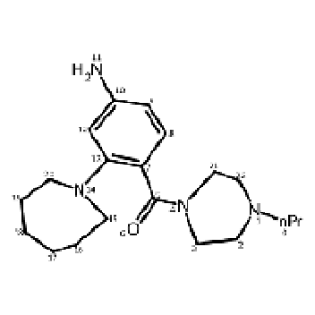 CCCN1CCN(C(=O)c2ccc(N)cc2N2CCCCCC2)CC1